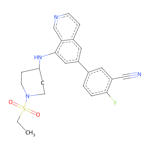 CCS(=O)(=O)N1CCC(Nc2cc(-c3ccc(F)c(C#N)c3)cc3ccncc23)CC1